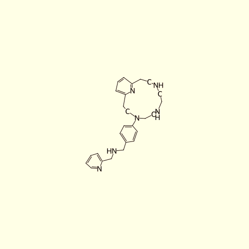 c1ccc(CNCc2ccc(N3CCNCCNCCc4cccc(n4)CC3)cc2)nc1